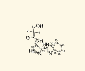 CC(C)(CO)C(=O)Nc1c[nH]nc1-c1nc2ccccc2[nH]1